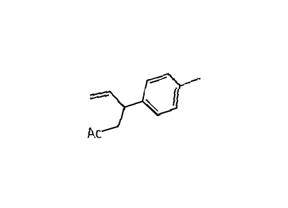 C=CC(CC(C)=O)c1ccc(C)cc1